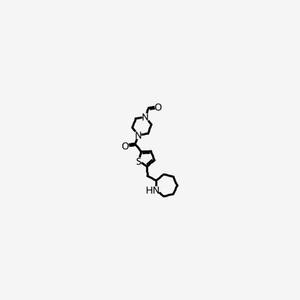 O=CN1CCN(C(=O)c2ccc(CC3CCCCCN3)s2)CC1